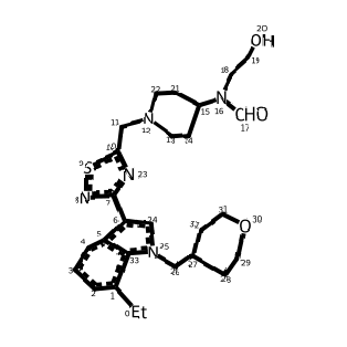 CCc1cccc2c(-c3nsc(CN4CCC(N(C=O)CCO)CC4)n3)cn(CC3CCOCC3)c12